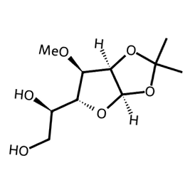 CO[C@H]1[C@H]2OC(C)(C)O[C@H]2O[C@@H]1[C@H](O)CO